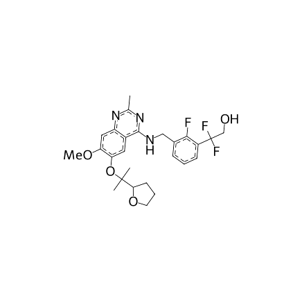 COc1cc2nc(C)nc(NCc3cccc(C(F)(F)CO)c3F)c2cc1OC(C)(C)C1CCCO1